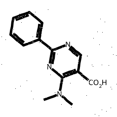 CN(C)c1nc(-c2ccccc2)ncc1C(=O)O